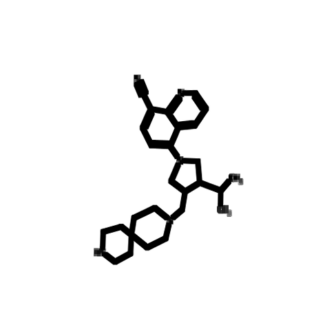 CC(C)C1CN(c2ccc(C#N)c3ncccc23)CC1CN1CCC2(CCNCC2)CC1